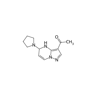 CC(=O)c1cnn2c1NC(N1CCCC1)C=C2